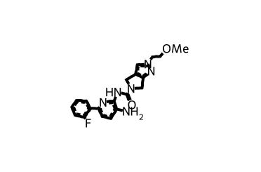 COCCn1cc2c(n1)CN(C(=O)Nc1nc(-c3ccccc3F)ccc1N)C2